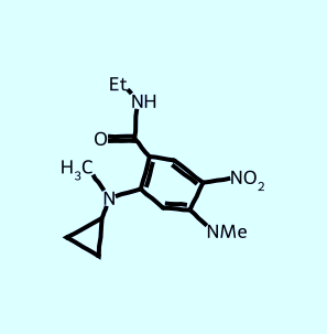 CCNC(=O)c1cc([N+](=O)[O-])c(NC)cc1N(C)C1CC1